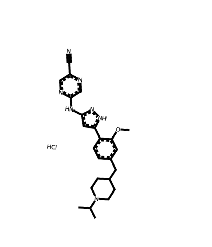 COc1cc(CC2CCN(C(C)C)CC2)ccc1-c1cc(Nc2cnc(C#N)cn2)n[nH]1.Cl